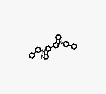 c1ccc(-c2ccc(-n3c4ccccc4c4cc(-c5ccc6c(c5)c5cccnc5n6-c5cccc(-c6ccccc6)c5)ccc43)cc2)cc1